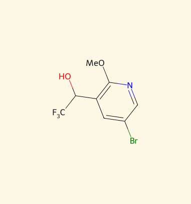 COc1ncc(Br)cc1C(O)C(F)(F)F